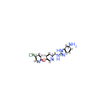 Nc1ccc2nc(NCc3ccc(Oc4ccc(Cl)cn4)cn3)[nH]c2c1